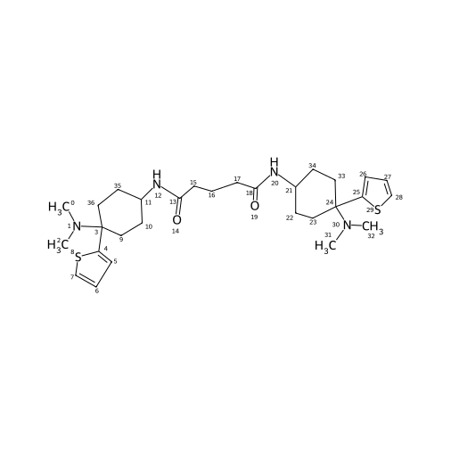 CN(C)C1(c2cccs2)CCC(NC(=O)CCCC(=O)NC2CCC(c3cccs3)(N(C)C)CC2)CC1